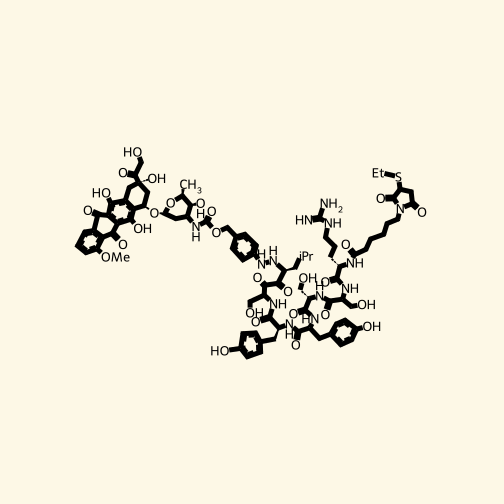 CCSC1CC(=O)N(CCCCCC(=O)N[C@@H](CCCNC(=N)N)C(=O)NC(CO)C(=O)N[C@@H](CO)C(=O)NC(Cc2ccc(O)cc2)C(=O)N[C@@H](Cc2ccc(O)cc2)C(=O)NC(CO)C(=O)C(=O)[C@H](CC(C)C)NNc2ccc(COC(=O)NC3C[C@H](O[C@H]4C[C@](O)(C(=O)CO)Cc5c(O)c6c(c(O)c54)C(=O)c4c(OC)cccc4C6=O)O[C@@H](C)[C@H]3O)cc2)C1=O